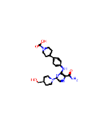 NC(=O)c1ncc(N2CCC(CO)CC2)nc1Nc1ccc(C2CCN(C(=O)O)CC2)cc1